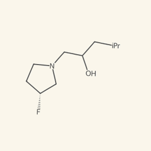 CC(C)CC(O)CN1CC[C@@H](F)C1